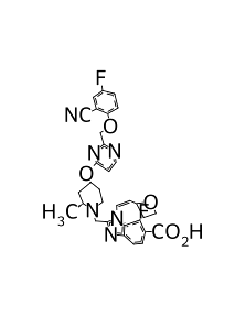 C[C@H]1C[C@@H](Oc2ccnc(COc3ccc(F)cc3C#N)n2)CCN1Cc1nc2ccc(C(=O)O)c(F)c2n1/C=C\C1CCO1